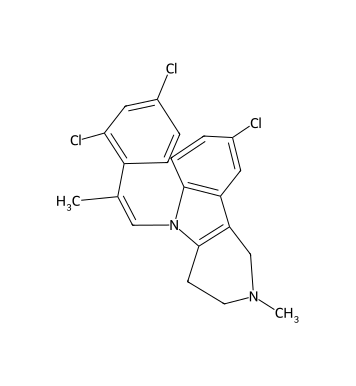 C/C(=C/n1c2c(c3cc(Cl)ccc31)CN(C)CC2)c1ccc(Cl)cc1Cl